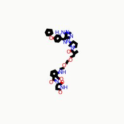 C=C(CCOCCOCCNc1cccc2c1C(=O)N(C1CCC(=O)NC1=O)C2=O)C(=O)N1CCCC(n2nc(-c3ccc(Oc4ccccc4)cc3)c3c(N)ncnc32)C1